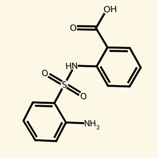 Nc1ccccc1S(=O)(=O)Nc1ccccc1C(=O)O